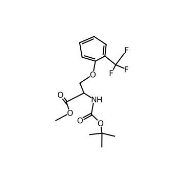 COC(=O)C(COc1ccccc1C(F)(F)F)NC(=O)OC(C)(C)C